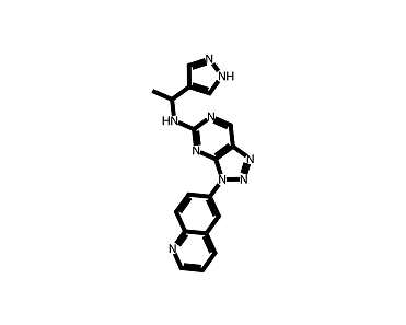 CC(Nc1ncc2nnn(-c3ccc4ncccc4c3)c2n1)c1cn[nH]c1